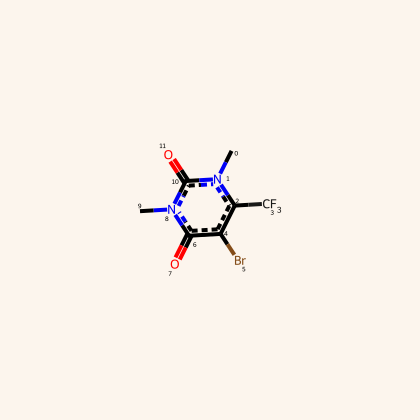 Cn1c(C(F)(F)F)c(Br)c(=O)n(C)c1=O